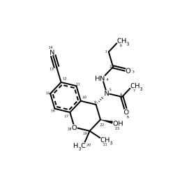 CCC(=O)NN(C(C)=O)[C@H]1c2cc(C#N)ccc2OC(C)(C)[C@@H]1O